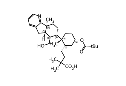 CC(C)(C)C(=O)O[C@H]1CC[C@@](C)([C@H]2CC[C@]3(C)c4ncccc4C[C@H]3[C@@H]2CO)[C@@H](CCC(C)(C)C(=O)O)C1